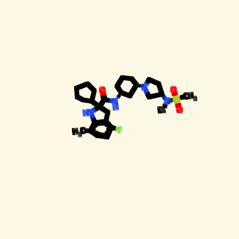 CCN([C@@H]1CCN([C@H]2CCC[C@@H](NC(=O)C3(C4CCCCC4)Cc4c(F)ccc(C)c4N3)C2)C1)S(C)(=O)=O